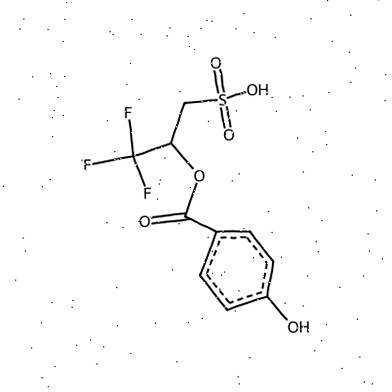 O=C(OC(CS(=O)(=O)O)C(F)(F)F)c1ccc(O)cc1